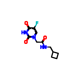 O=C(Cn1cc(F)c(=O)[nH]c1=O)NCC1CCC1